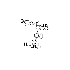 Cc1c(C(=O)N2CC3(CCS(=O)(=O)CC3)C2)cc(-c2ccc(SNC(C)(C)C)c3ccccc23)n1CC1CCCCC1